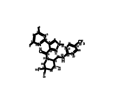 Cc1cc(C)nc(-c2cn(C)nc2C(=O)N2CC(F)(F)C[C@@H](C)C2CNc2ncc(C(F)(F)F)cn2)n1